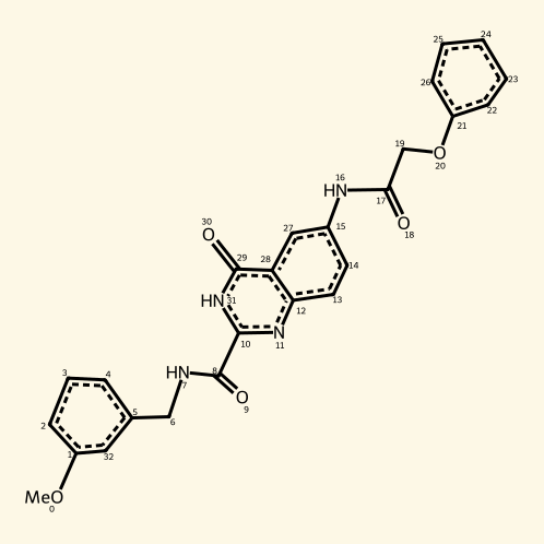 COc1cccc(CNC(=O)c2nc3ccc(NC(=O)COc4ccccc4)cc3c(=O)[nH]2)c1